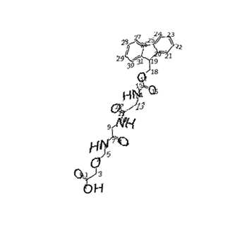 O=C(O)COCNC(=O)CNC(=O)CNC(=O)OCC1c2ccccc2-c2ccccc21